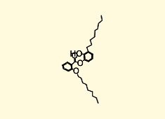 CCCCCCCCCOc1ccccc1C(=O)Oc1cccc(CCCCCCCCC)c1O